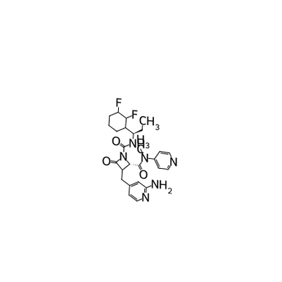 CC[C@@H](NC(=O)N1C(=O)C(Cc2ccnc(N)c2)[C@H]1C(=O)N(C)c1ccncc1)C1CCCC(F)C1F